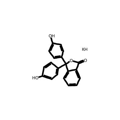 O=C1OC(c2ccc(O)cc2)(c2ccc(O)cc2)c2ccccc21.[KH]